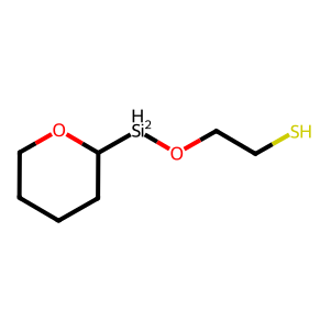 SCCO[SiH2]C1CCCCO1